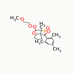 COCCOOC(=O)C(C)(P=O)C1(C(=O)c2c(C)cc(C)cc2C)CCCC1